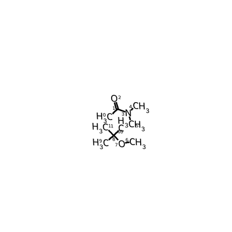 CC(=O)N(C)C.COC(C)(C)C